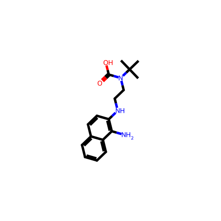 CC(C)(C)N(CCNc1ccc2ccccc2c1N)C(=O)O